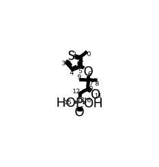 Cc1sccc1OC(C)(C)C(=O)CP(=O)(O)O